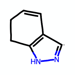 [c]1n[nH]c2c1C=CCC2